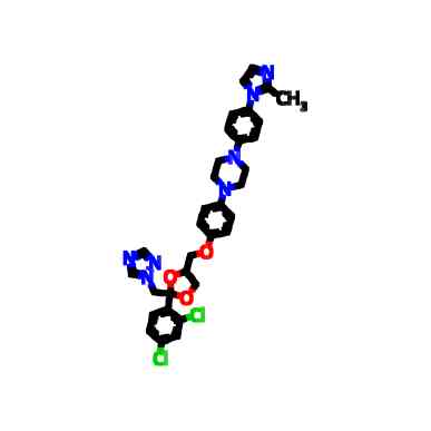 Cc1nccn1-c1ccc(N2CCN(c3ccc(OCC4COC(Cn5cncn5)(c5ccc(Cl)cc5Cl)O4)cc3)CC2)cc1